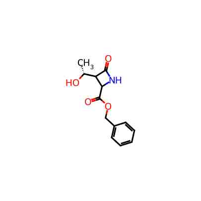 C[C@@H](O)C1C(=O)NC1C(=O)OCc1ccccc1